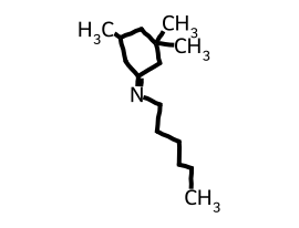 CCCCCC/N=C1/CC(C)CC(C)(C)C1